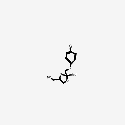 CC(C)(C)C1(COc2ccc(Cl)cc2)OCC(CO)O1